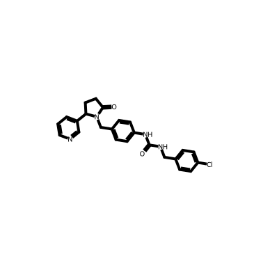 O=C(NCc1ccc(Cl)cc1)Nc1ccc(CN2C(=O)CCC2c2cccnc2)cc1